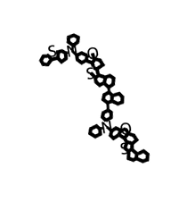 c1ccc(N(c2ccc(-c3ccc(-c4cccc5c4ccc4sc6c(ccc7oc8cc(N(c9ccccc9)c9ccc%10c(c9)sc9ccccc9%10)ccc8c76)c45)c4ccccc34)cc2)c2ccc3c(c2)oc2ccc4c(sc5ccc6ccccc6c54)c23)cc1